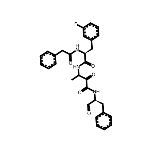 CC(NC(=O)[C@H](Cc1cccc(F)c1)NC(=O)Cc1ccccc1)C(=O)C(=O)N[C@H](C=O)Cc1ccccc1